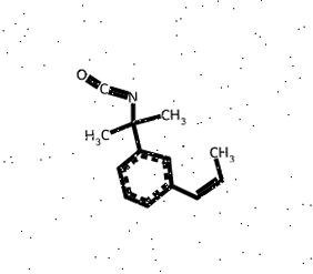 C/C=C\c1cccc(C(C)(C)N=C=O)c1